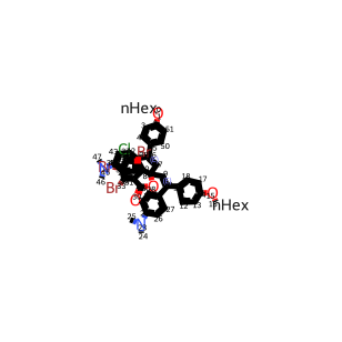 CCCCCCOc1ccc(/C(=C/C2(/C=C(/c3ccc(OCCCCCC)cc3)c3ccc(N(C)C)cc3)OC(=O)c3c(Br)c(Br)c(Cl)c(Br)c32)c2ccc(N(C)C)cc2)cc1